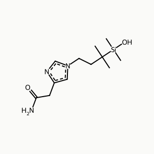 CC(C)(CCn1cnc(CC(N)=O)c1)[Si](C)(C)O